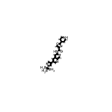 BC(B)(B)n1cc(-c2cnc3cnc(NC(=O)c4coc(C5CCNCC5)n4)cc3c2)cn1